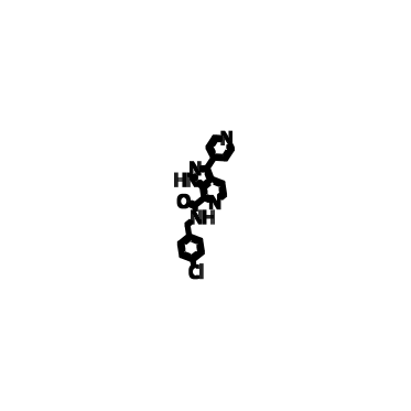 O=C(NCc1ccc(Cl)cc1)c1nccc2c(-c3ccncc3)n[nH]c12